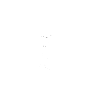 CN(C)CC1CCC(NCC(N)=O)CC1